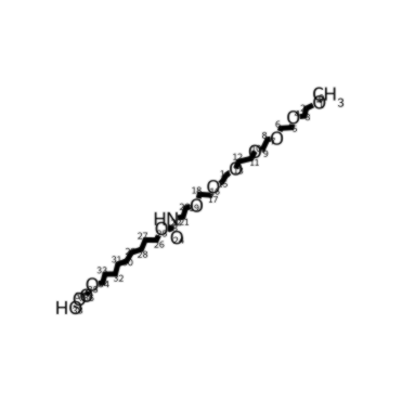 COCCOCCOCCOCCOCCOCCOCCNC(=O)OCCCCCCCCCOOOO